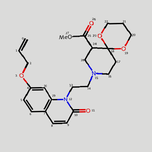 C=CCOc1ccc2ccc(=O)n(CCN3CCC4(OCCCO4)C(C(=O)OC)C3)c2c1